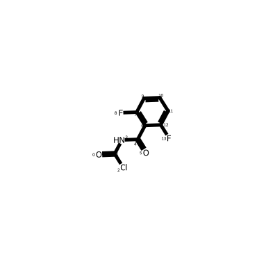 O=C(Cl)NC(=O)c1c(F)cccc1F